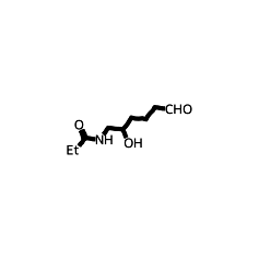 CCC(=O)NCC(O)CCCC=O